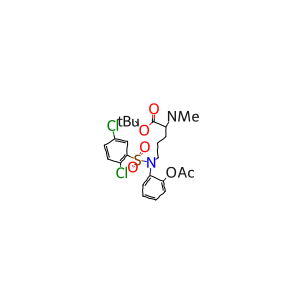 CNC(CCCN(c1ccccc1OC(C)=O)S(=O)(=O)c1cc(Cl)ccc1Cl)C(=O)OC(C)(C)C